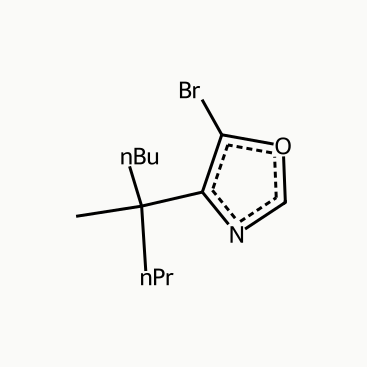 CCCCC(C)(CCC)c1ncoc1Br